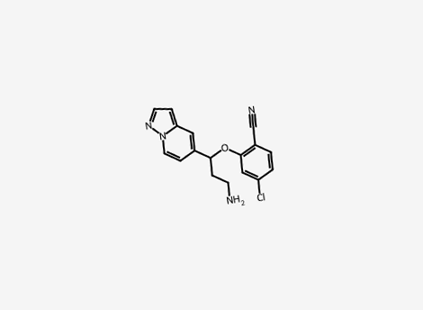 N#Cc1ccc(Cl)cc1OC(CCN)c1ccn2nccc2c1